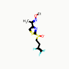 CCO/N=C(\C)c1csc([S+]([O-])CCC(F)=C(F)F)n1